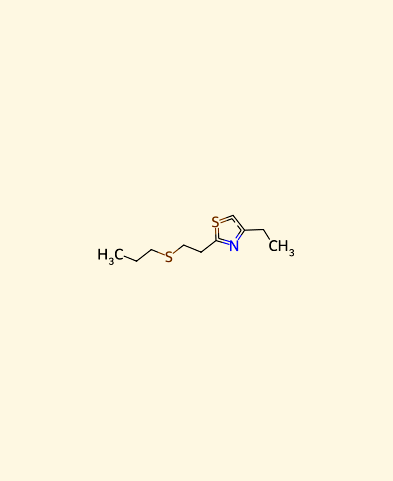 CCCSCCc1nc(CC)cs1